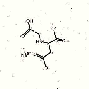 O=C([O-])CC(NCC(=O)O)C(=O)[O-].[Na+].[Na+]